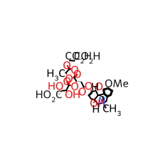 COc1ccc2c3c1O[C@H]1C(OC(=O)C[C@H](OC(=O)[C@H](O)[C@@H](O)C(=O)O)C(=O)O[C@@H](C)C(=O)O[C@H](CC(=O)O)C(=O)O)=CC[C@@]4(O)[C@@H](C2)N(C)CC[C@]314